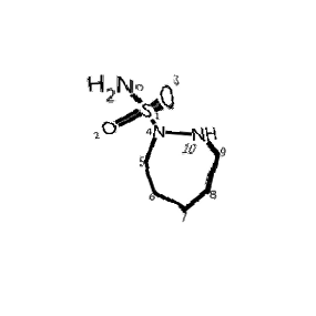 NS(=O)(=O)N1CCCCCN1